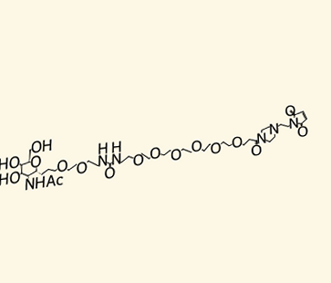 CC(=O)N[C@@H]1[C@@H](O)[C@@H](O)[C@@H](CO)O[C@@H]1CCCOCCOCCNC(=O)NCCOCCOCCOCCOCCOCCOCCC(=O)N1CCN(CCN2C(=O)C=CC2=O)CC1